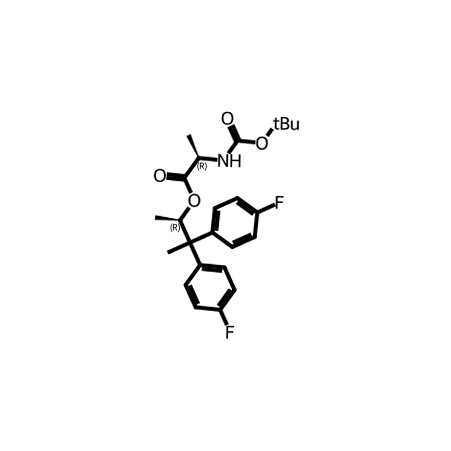 C[C@@H](NC(=O)OC(C)(C)C)C(=O)O[C@H](C)C(C)(c1ccc(F)cc1)c1ccc(F)cc1